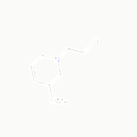 COC1C=CCN(CCCl)C1